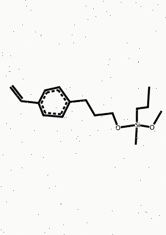 C=Cc1ccc(CCCO[Si](C)(CCC)OC)cc1